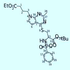 CCOC(=O)CCCn1ccc2c(SCC(NS(=O)(=O)c3ccccc3)C(=O)OC(C)(C)C)nc(C)nc21